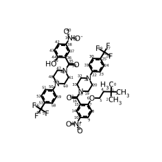 CC(C)(C)CCOc1ccc([N+](=O)[O-])cc1C(=O)N1CCN(c2ccc(C(F)(F)F)cc2)CC1.O=C(c1cc([N+](=O)[O-])ccc1O)N1CCN(c2ccc(C(F)(F)F)cc2)CC1